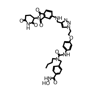 CCCCN(Cc1ccc(C(=O)NO)cc1)C(=O)Nc1ccc(OCCn2cc(CNc3ccc4c(c3)C(=O)N(C3CCC(=O)NC3=O)C4=O)nn2)cc1